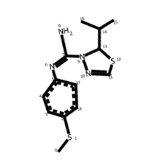 CSc1ccc(N=C(N)N2N=[C]SC2C(C)C)cc1